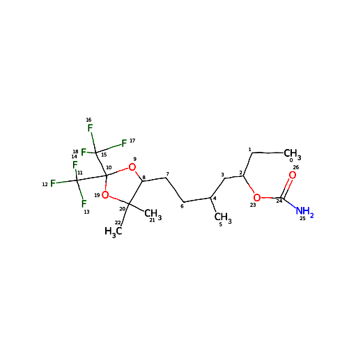 CCC(CC(C)CCC1OC(C(F)(F)F)(C(F)(F)F)OC1(C)C)OC(N)=O